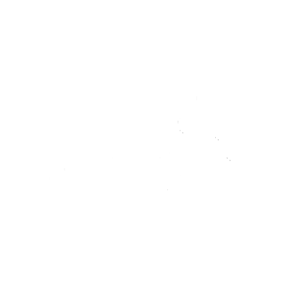 COc1ccc(COc2ccc(CC(NC(=O)C(CC(C)C)NC(=O)N3CCCCCC3)C(=O)OC(C)(C)C)cc2)cc1